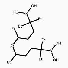 CCC(CCC(CC)(CC)B(O)O)OC(CC)CCC(CC)(CC)B(O)O